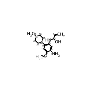 C=CC(O)Nc1cc(N)c(OC)cc1N1CCN(C)CC1